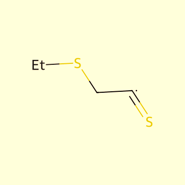 CCSC[C]=S